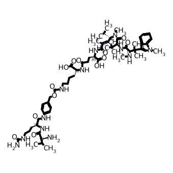 CN[C@H](C(=O)N[C@H](C(=O)N(C)[C@H](/C=C(\C)C(=O)N[C@H](CCC(=O)N[C@H](CCCCNC(=O)OCc1ccc(NC(=O)[C@H](CCCNC(N)=O)NC(=O)[C@@H](N)C(C)C)cc1)C(=O)O)C(=O)O)C(C)C)C(C)(C)C)C(C)(C)c1cn(C)c2ccccc12